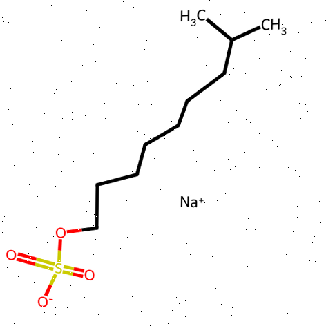 CC(C)CCCCCCCOS(=O)(=O)[O-].[Na+]